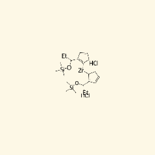 CCC(O[Si](C)(C)C)C1=[C]([Zr][C]2=C(C(CC)O[Si](C)(C)C)C=CC2)CC=C1.Cl.Cl